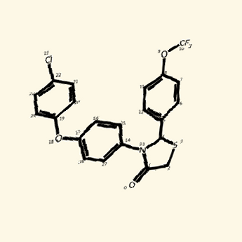 O=C1CSC(c2ccc(OC(F)(F)F)cc2)N1c1ccc(Oc2ccc(Cl)cc2)cc1